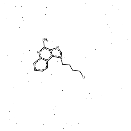 Nc1nc2ccccc2c2c1ncn2CCCCCl